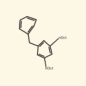 CCCCCCCCc1cc(CCCCCCCC)cc(Cc2ccccc2)c1